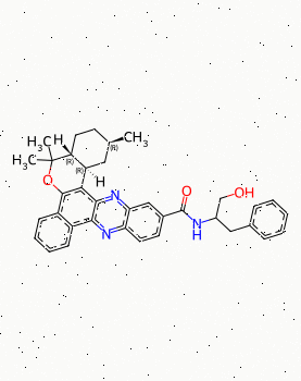 C[C@@H]1CC[C@@H]2[C@@H](C1)c1c(c3ccccc3c3nc4ccc(C(=O)NC(CO)Cc5ccccc5)cc4nc13)OC2(C)C